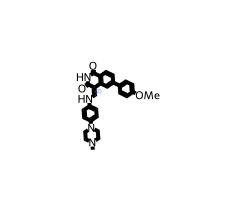 COc1ccc(-c2ccc3c(c2)/C(=C/Nc2ccc(N4CCN(C)CC4)cc2)C(=O)NC3=O)cc1